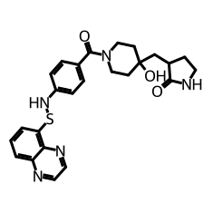 O=C1NCCC1CC1(O)CCN(C(=O)c2ccc(NSc3cccc4nccnc34)cc2)CC1